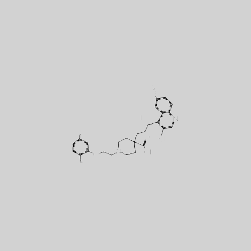 COc1ccc2ncc(Cl)c([C@@H](F)CCC3(C(=O)O)CCN(CCOc4cc(F)ccc4F)CC3)c2c1